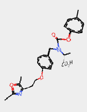 Cc1ccc(OC(=O)N(Cc2ccc(OCCc3nc(C)oc3C)cc2)[C@H](C)C(=O)O)cc1